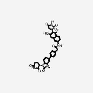 Cn1c(=O)n([C@@H]2CCC(=O)NC2=O)c2ccc(-c3ccc(CC(=O)Nc4ccc5c(F)c(N6CC(=O)NS6(=O)=O)c(O)cc5c4)cc3)cc21